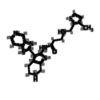 Cc1ccsc1CNCCC(=O)Nc1sc2c(c1-c1nc3cnccc3s1)CCNC2